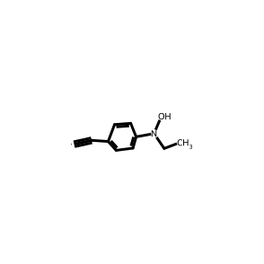 [C]#Cc1ccc(N(O)CC)cc1